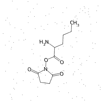 CCCCC(N)C(=O)ON1C(=O)CCC1=O